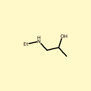 [CH2]CNCC(C)O